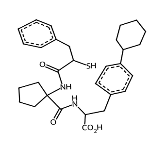 O=C(NC1(C(=O)NC(Cc2ccc(C3CCCCC3)cc2)C(=O)O)CCCC1)C(S)Cc1ccccc1